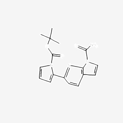 CC(C)(C)OC(=O)n1cccc1-c1ccc2ccn(C(N)=O)c2n1